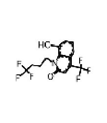 O=c1cc(C(F)(F)F)c2cccc(O)c2n1CCCC(F)(F)F